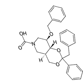 O=C(O)N1C[C@@H]2COC(Cc3ccccc3)(c3ccccc3)O[C@H]2[C@H](OCc2ccccc2)C1